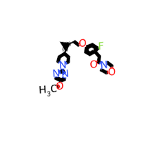 COc1cnc(N2CCC([C@H]3C[C@H]3CCOc3ccc(CC(=O)N4CCOCC4)c(F)c3)CC2)nc1